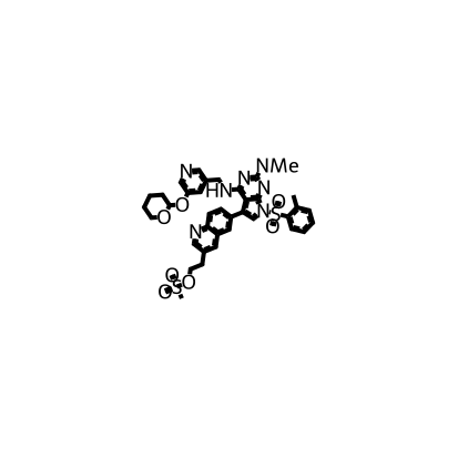 CNc1nc(NCc2cncc(OC3CCCCO3)c2)c2c(-c3ccc4ncc(CCOS(C)(=O)=O)cc4c3)cn(S(=O)(=O)c3ccccc3C)c2n1